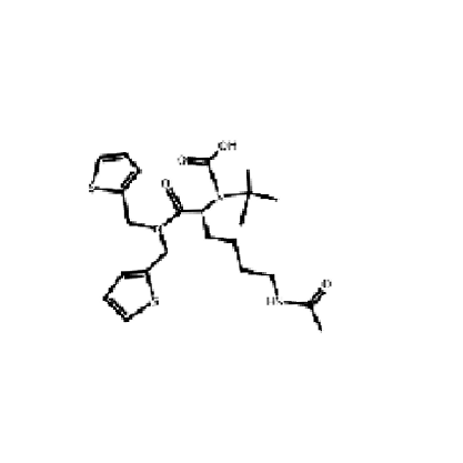 CC(=O)NCCCC[C@@H](C(=O)N(Cc1cccs1)Cc1cccs1)N(C(=O)O)C(C)(C)C